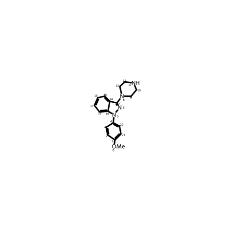 COc1ccc(-n2nc(N3CCNCC3)c3ccccc32)cc1